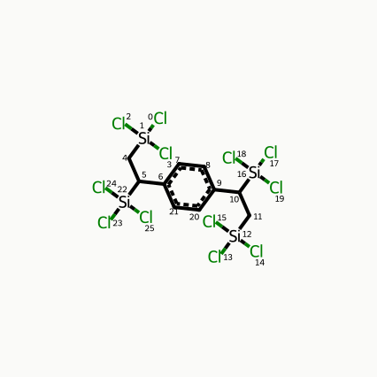 Cl[Si](Cl)(Cl)CC(c1ccc(C(C[Si](Cl)(Cl)Cl)[Si](Cl)(Cl)Cl)cc1)[Si](Cl)(Cl)Cl